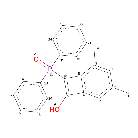 Cc1cc(C)c2c(c1)C(O)=C2P(=O)(c1ccccc1)c1ccccc1